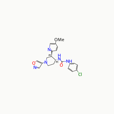 COc1ccc([C@@H]2CN(c3cnoc3)CC[C@H]2NC(=O)Nc2ccc(Cl)cc2)nc1